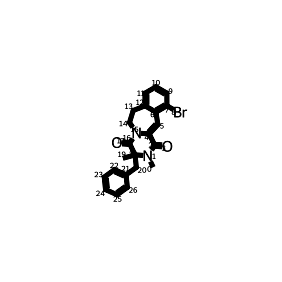 CN1C(=O)C2=Cc3c(Br)cccc3CCN2C(=O)C1(C)Cc1ccccc1